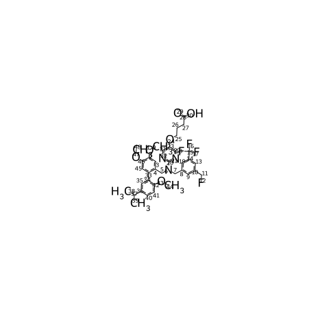 COc1cc(CN(Cc2cc(CF)cc(C(F)(F)F)c2)c2ncc(OCCCC(=O)O)cn2)c(-c2cc(C(C)C)ccc2OC)cc1OC